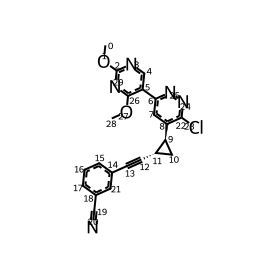 COc1ncc(-c2cc([C@H]3C[C@@H]3C#Cc3cccc(C#N)c3)c(Cl)nn2)c(OC)n1